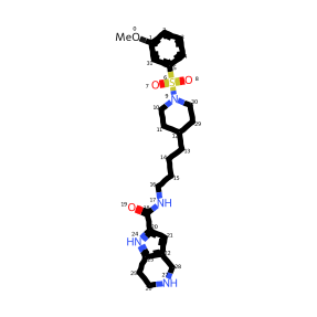 COc1cccc(S(=O)(=O)N2CCC(CCCCNC(=O)c3cc4c([nH]3)CCNC4)CC2)c1